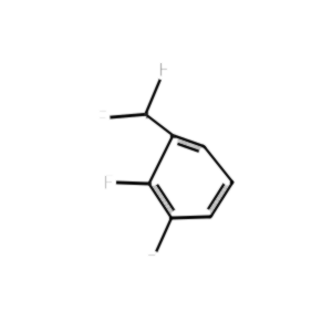 F[C](F)c1cccc(F)c1F